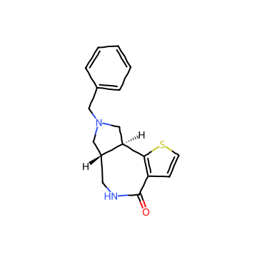 O=C1NC[C@@H]2CN(Cc3ccccc3)C[C@H]2c2sccc21